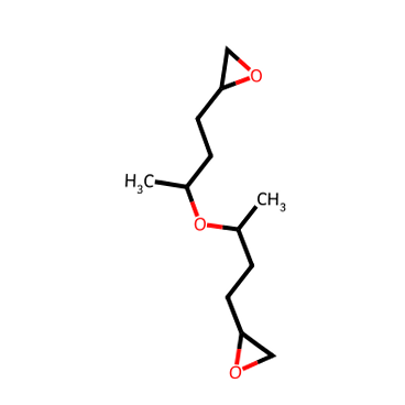 CC(CCC1CO1)OC(C)CCC1CO1